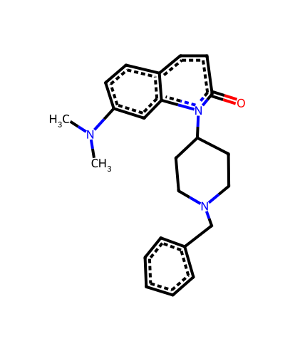 CN(C)c1ccc2ccc(=O)n(C3CCN(Cc4ccccc4)CC3)c2c1